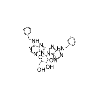 OC[C@H]1OC(n2cnc3c(NCc4ccccc4)ncnc32)(n2cnc3c(NCc4ccccc4)ncnc32)[C@H](O)[C@@H]1O